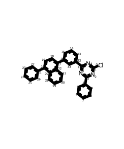 Clc1nc(-c2ccccc2)nc(-c2cccc(-c3ccc(-c4ccccc4)c4ccccc34)c2)n1